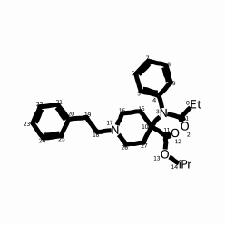 CCC(=O)N(c1ccccc1)C1(C(=O)OC(C)C)CCN(CCc2ccccc2)CC1